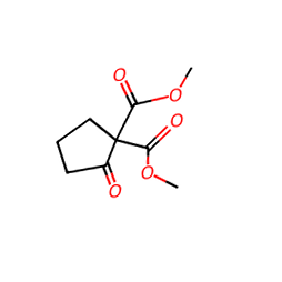 COC(=O)C1(C(=O)OC)CCCC1=O